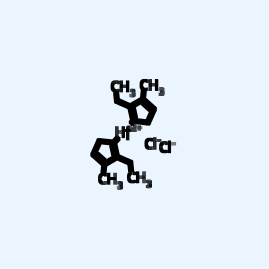 CCC1=[C]([Hf+2][C]2=C(CC)C(C)=CC2)CC=C1C.[Cl-].[Cl-]